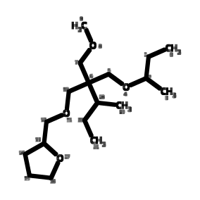 CCC(C)OCC(COC)(COCC1CCCO1)C(C)CC